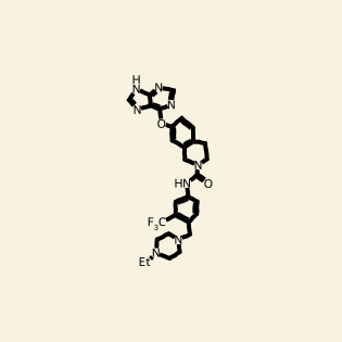 CCN1CCN(Cc2ccc(NC(=O)N3CCc4ccc(Oc5ncnc6[nH]cnc56)cc4C3)cc2C(F)(F)F)CC1